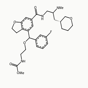 CNC(CNC(=O)c1cc2c(c(C(OCCNC(=O)OC)c3cccc(F)c3)c1)CCO2)C[C@H]1CCCOC1